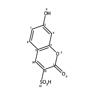 O=c1oc2cc(O)ccc2cc1S(=O)(=O)O